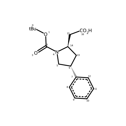 CC(C)(C)OC(=O)N1C[C@@H](c2ccccc2)C[C@@H]1CC(=O)O